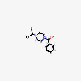 CC(=O)C(C)N1CCN(C(=O)c2ccccc2)CC1